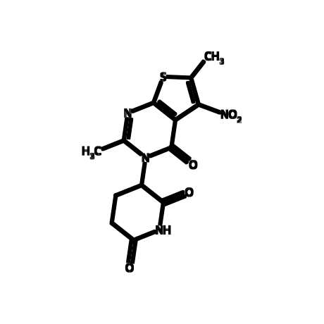 Cc1sc2nc(C)n(C3CCC(=O)NC3=O)c(=O)c2c1[N+](=O)[O-]